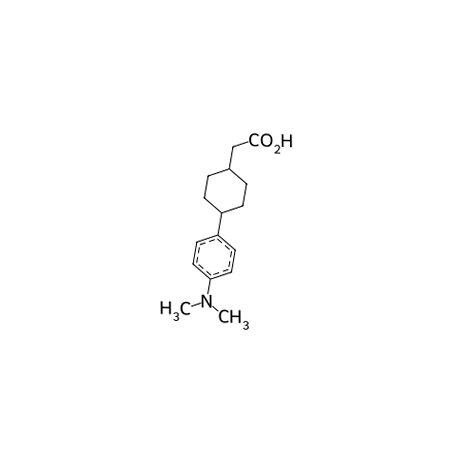 CN(C)c1ccc(C2CCC(CC(=O)O)CC2)cc1